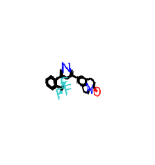 O=C1CCc2cc(-c3cncc(-c4ccccc4C(F)(F)F)c3)cc3c2N1CC3